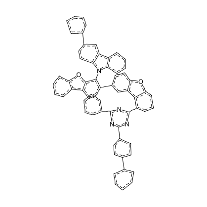 c1ccc(-c2ccc(-c3nc(-c4ccccc4)nc(-c4cccc5oc6ccc(-c7ccc8c(oc9ccccc98)c7-n7c8ccccc8c8cc(-c9ccccc9)ccc87)cc6c45)n3)cc2)cc1